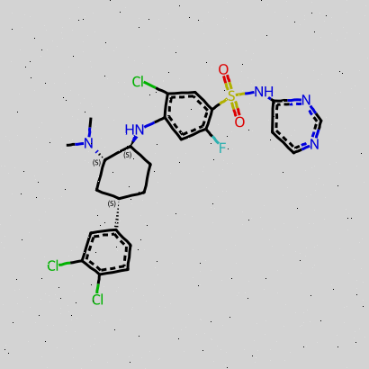 CN(C)[C@H]1C[C@@H](c2ccc(Cl)c(Cl)c2)CC[C@@H]1Nc1cc(F)c(S(=O)(=O)Nc2ccncn2)cc1Cl